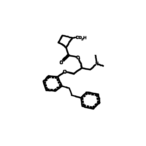 CN(C)CC(COc1ccccc1CCc1ccccc1)OC(=O)C1CCC1C(=O)O